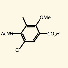 COc1c(C(=O)O)cc(Cl)c(NC(C)=O)c1C